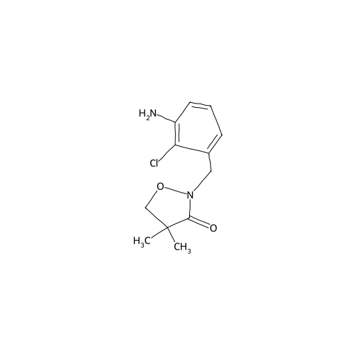 CC1(C)CON(Cc2cccc(N)c2Cl)C1=O